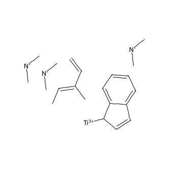 C=CC(C)=CC.C[N-]C.C[N-]C.C[N-]C.[Ti+3][CH]1C=Cc2ccccc21